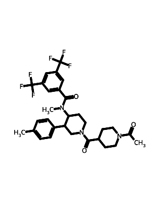 CC(=O)N1CCC(C(=O)N2CCC(N(C)C(=O)c3cc(C(F)(F)F)cc(C(F)(F)F)c3)C(c3ccc(C)cc3)C2)CC1